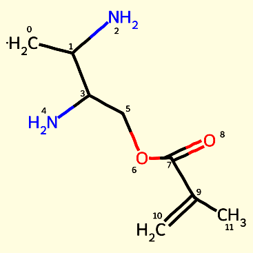 [CH2]C(N)C(N)COC(=O)C(=C)C